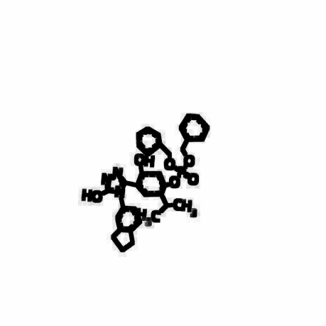 CC(C)c1cc(-c2nnc(O)n2-c2ccc3c(c2)CCC3)c(O)cc1OP(=O)(OCc1ccccc1)OCc1ccccc1